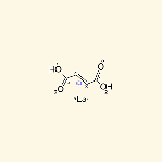 O=C(O)/C=C/C(=O)O.[La]